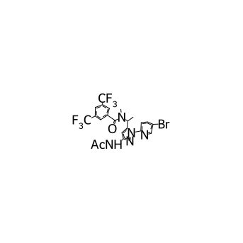 CC(=O)Nc1cc(C(C)N(C)C(=O)c2cc(C(F)(F)F)cc(C(F)(F)F)c2)n(-c2ccc(Br)cn2)n1